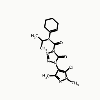 Cc1nn(C)c(Cl)c1-n1nnn(C(=O)N(C2=CCCCC2)C(C)C)c1=O